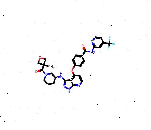 CC1(C(=O)N2CCCC(Nc3n[nH]c4nccc(Oc5ccc(C(=O)Nc6cc(C(F)(F)F)ccn6)cc5)c34)C2)COC1